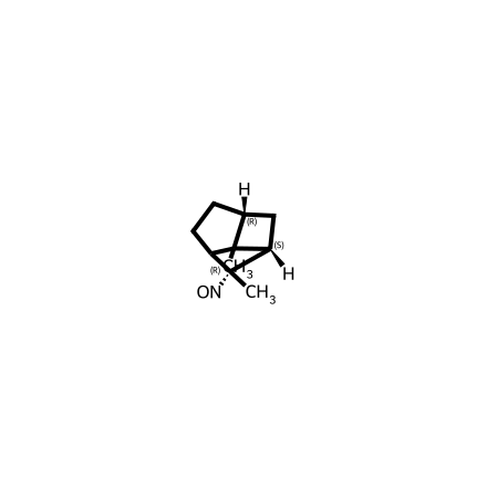 CC12C3CC[C@@H]1C[C@@H]2[C@]3(C)N=O